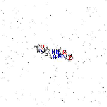 Cc1[nH]c(-c2cc(-c3ccc4c(c3)CN([C@@H](C)C3CC3)C4=O)ccn2)nc1C(=O)NC1CCOCC1